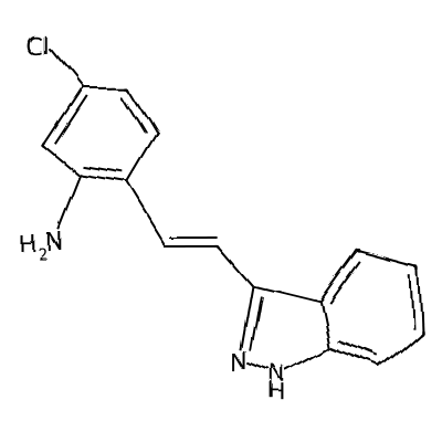 Nc1cc(Cl)ccc1C=Cc1n[nH]c2ccccc12